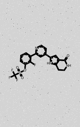 O=C1NCCc2[nH]c(-c3ccnc(-c4cccc(OS(=O)(=O)C(F)(F)F)c4F)c3)cc21